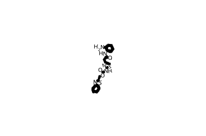 Nc1ccccc1NC(=O)Cc1csc(NC(=O)OCc2nc3ccccc3s2)n1